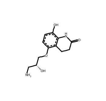 NC[C@@H](O)COc1ccc(O)c2c1CCC(=O)N2